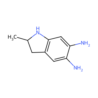 CC1Cc2cc(N)c(N)cc2N1